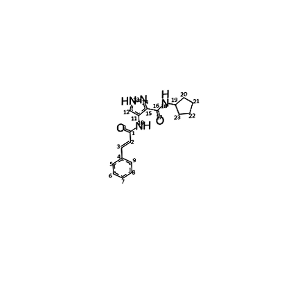 O=C(C=Cc1ccccc1)Nc1c[nH]nc1C(=O)NC1CCCC1